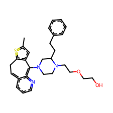 Cc1cc2c(s1)CC=c1cccnc1=C2N1CCN(CCOCCO)C(CCc2ccccc2)C1